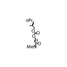 CCC/C=C(\C)COC(=O)OCC[PH](=O)NC